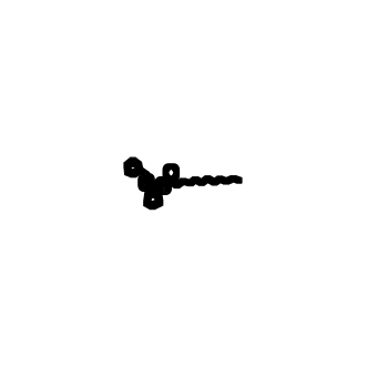 CCCCCCCCCCCC(=O)OCC(OCc1ccccc1)c1ccccc1